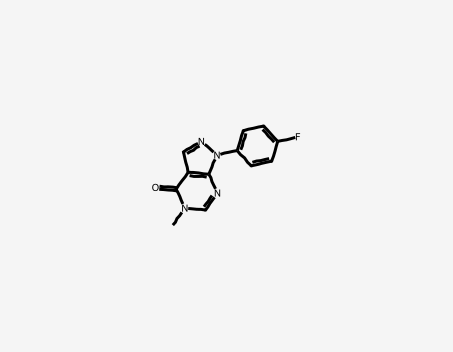 Cn1cnc2c(cnn2-c2ccc(F)cc2)c1=O